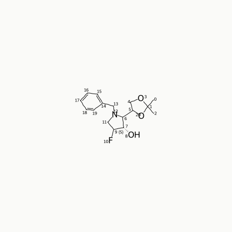 CC1(C)OCC(C2[C@H](O)C(F)CN2Cc2ccccc2)O1